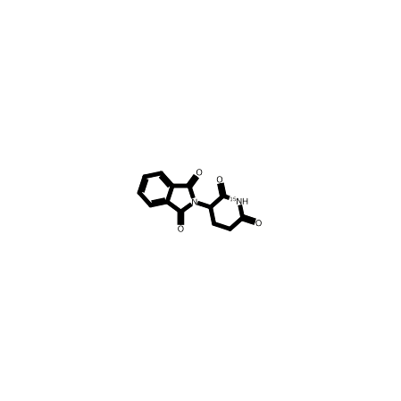 O=C1CCC(N2C(=O)c3ccccc3C2=O)C(=O)[15NH]1